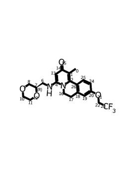 Cc1c2n(c(NC[C@@H]3COCCO3)cc1=O)CCc1cc(OCC(F)(F)F)ccc1-2